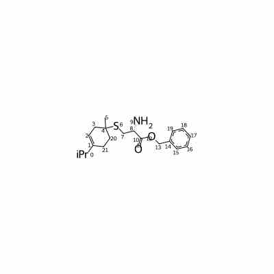 CC(C)C1=CCC(C)(SC[C@H](N)C(=O)OCc2ccccc2)CC1